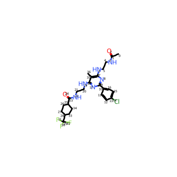 CC(=O)NCCNc1nc(-c2ccc(Cl)cc2)nc(NCCNC(=O)C2CCC(C(F)(F)F)CC2)c1C